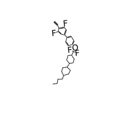 C#Cc1c(F)cc(-c2ccc(OC(F)(F)C3CCC(C4CCC(CCCC)CC4)CC3)cc2)cc1F